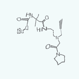 C#CCN(CCNC(=O)C(C)(C)NC(=O)OC(C)(C)C)CC(=O)N1CCCC1